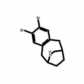 Brc1cc2c(cc1Br)CC1CCC(CN1)C2